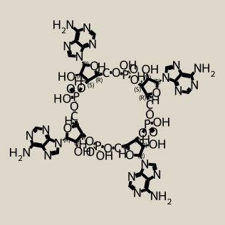 Nc1ncnc2c1ncn2[C@@H]1O[C@@H]2COP(=O)(O)O[C@H]3[C@@H](O)[C@H](n4cnc5c(N)ncnc54)O[C@@H]3COP(=O)(O)O[C@H]3[C@@H](O)[C@H](n4cnc5c(N)ncnc54)O[C@@H]3COP(=O)(O)O[C@H]3[C@@H](O)[C@H](n4cnc5c(N)ncnc54)O[C@@H]3COP(=O)(O)O[C@H]2[C@H]1O